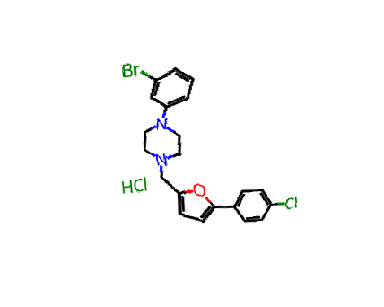 Cl.Clc1ccc(-c2ccc(CN3CCN(c4cccc(Br)c4)CC3)o2)cc1